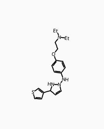 CCN(CC)CCOc1ccc(NN2C=CC(c3ccsc3)N2)cc1